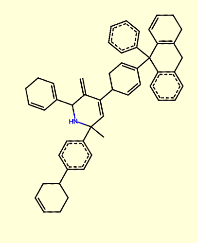 C=C1C(C2C=CC(C3(c4ccccc4)C4=C(CCC=C4)Cc4ccccc43)=CC2)=CC(C)(c2ccc(C3CC=CCC3)cc2)NC1C1=CCCC=C1